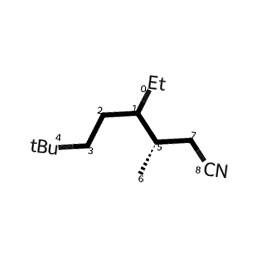 CCC(CCC(C)(C)C)[C@@H](C)CC#N